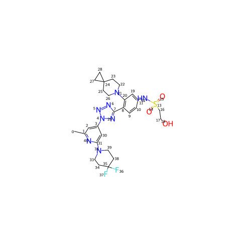 Cc1cc(-n2nnc(-c3ccc(NS(=O)(=O)CCO)cc3N3CCC4(CC3)CC4)n2)cc(N2CCC(F)(F)CC2)n1